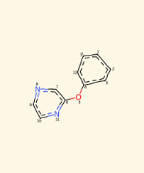 [c]1cccc(Oc2cnccn2)c1